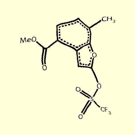 COC(=O)c1ccc(C)c2oc(OS(=O)(=O)C(F)(F)F)cc12